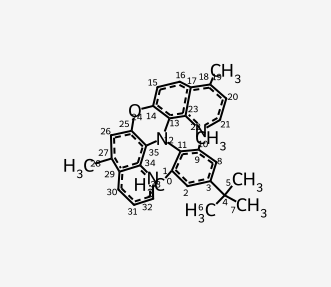 Cc1cc(C(C)(C)C)cc(C)c1N1c2c(ccc3c(C)ccnc23)Oc2cc(C)c3cccnc3c21